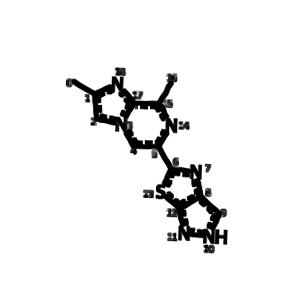 Cc1cn2cc(-c3nc4c[nH]nc4s3)nc(C)c2n1